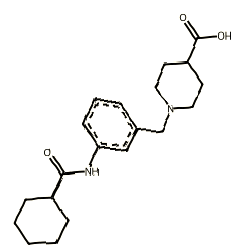 O=C(O)C1CCN(Cc2cccc(NC(=O)C3CCCCC3)c2)CC1